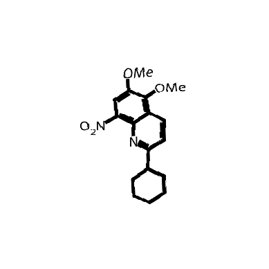 COc1cc([N+](=O)[O-])c2nc(C3CCCCC3)ccc2c1OC